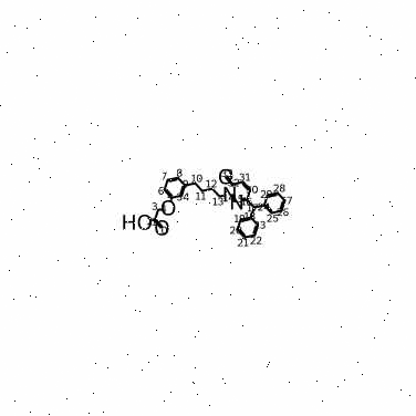 O=C(O)COc1cccc(CCCCn2nc(C(c3ccccc3)c3ccccc3)ccc2=O)c1